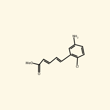 COC(=O)C=CC=Cc1cc(N)ccc1Cl